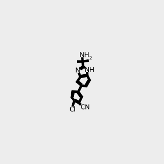 CC(C)(N)c1nc2cc(-c3ccc(Cl)c(C#N)c3)ccc2[nH]1